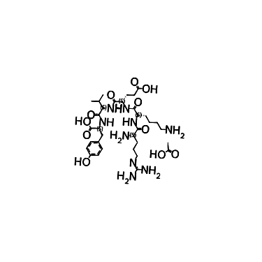 CC(=O)O.CC(C)[C@H](NC(=O)[C@H](CCC(=O)O)NC(=O)[C@H](CCCCN)NC(=O)[C@@H](N)CCCN=C(N)N)C(=O)N[C@@H](Cc1ccc(O)cc1)C(=O)O